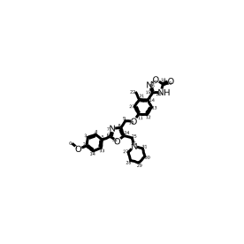 COc1ccc(-c2nc(COc3ccc(-c4noc(=O)[nH]4)c(C)c3)c(CN3CCCCC3)o2)cc1